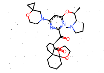 C[C@H](Oc1cc(N2CCOC3(CC3)C2)nc(C(=O)[C@@H]2CCC[C@@]3(CCCCC34OCCO4)C2=O)n1)[C@@H]1CCCN1C